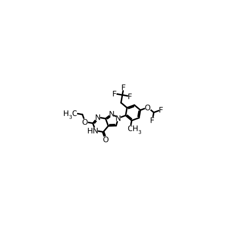 CCOc1nc2nn(-c3c(C)cc(OC(F)F)cc3CC(F)(F)F)cc2c(=O)[nH]1